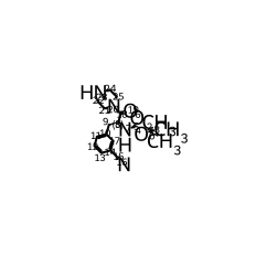 CC(C)(C)OC(=O)N[C@@H](Cc1cccc(C#N)c1)C(=O)N1CCNCC1